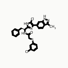 Cc1n[nH]c2cc(-c3nc([C@H](Cc4ccccc4)NC(=O)CSc4cccc(Cl)c4)[nH]c3Cl)ccc12